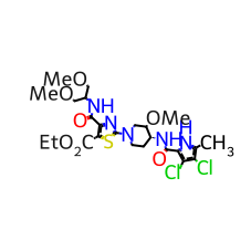 CCOC(=O)c1sc(N2CC[C@@H](NC(=O)c3[nH]c(C)c(Cl)c3Cl)[C@@H](OC)C2)nc1C(=O)NC(COC)COC